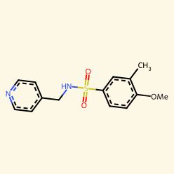 COc1ccc(S(=O)(=O)NCc2ccncc2)cc1C